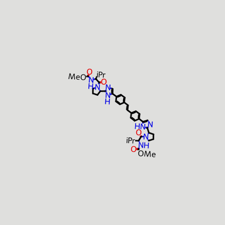 COC(=O)NC(C(=O)N1CCCC1c1ncc(-c2ccc(/C=C/c3ccc(-c4cnc(C5CCCN5C(=O)C(NC(=O)OC)C(C)C)[nH]4)cc3)cc2)[nH]1)C(C)C